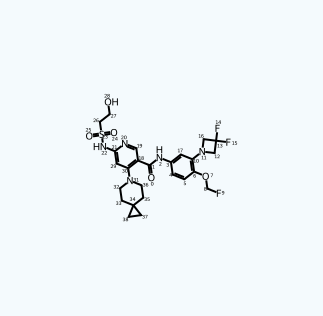 O=C(Nc1ccc(OCF)c(N2CC(F)(F)C2)c1)c1cnc(NS(=O)(=O)CCO)cc1N1CCC2(CC1)CC2